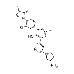 Cc1cc(-c2cncc(N3CC[C@H](N)C3)c2)c(O)c(-c2ccc(-n3ccn(C)c3=O)c(Cl)c2)c1